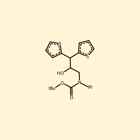 CC(C)N(CC(O)C(c1cccs1)c1cccs1)C(=O)OC(C)(C)C